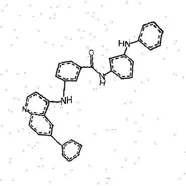 O=C(Nc1cccc(Nc2ccccc2)c1)c1cccc(Nc2ccnc3ccc(-c4ccccc4)cc23)c1